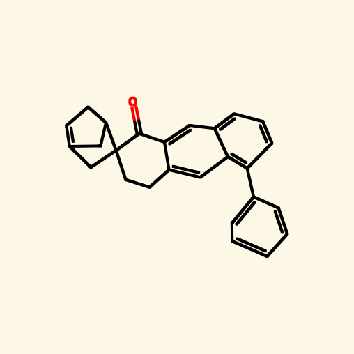 O=C1c2cc3cccc(-c4ccccc4)c3cc2CCC12CC1=CCC2C1